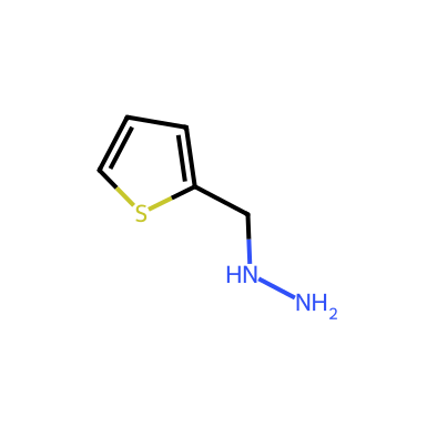 NNCc1cccs1